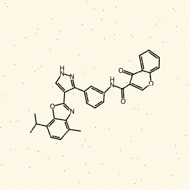 Cc1ccc(C(C)C)c2oc(-c3c[nH]nc3-c3cccc(NC(=O)c4coc5ccccc5c4=O)c3)nc12